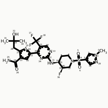 Cn1cc(S(=O)(=O)N2CC[C@H](Nc3ncc(C(F)(F)F)c(-c4cc(C(N)=O)c(CC(C)(C)O)s4)n3)[C@H](F)C2)cn1